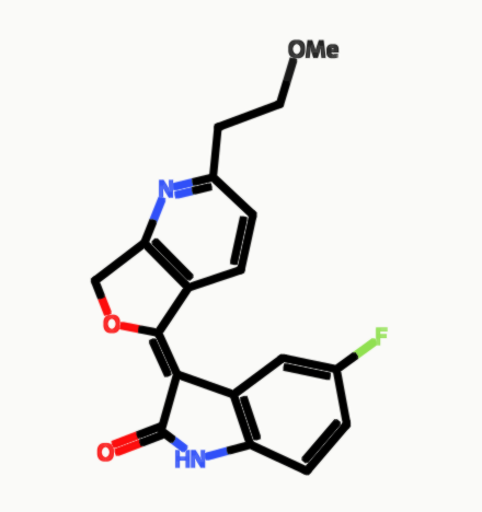 COCCc1ccc2c(n1)CO/C2=C1\C(=O)Nc2ccc(F)cc21